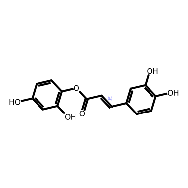 O=C(/C=C/c1ccc(O)c(O)c1)Oc1ccc(O)cc1O